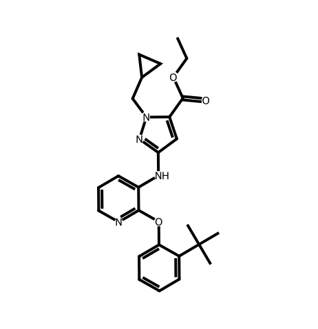 CCOC(=O)c1cc(Nc2cccnc2Oc2ccccc2C(C)(C)C)nn1CC1CC1